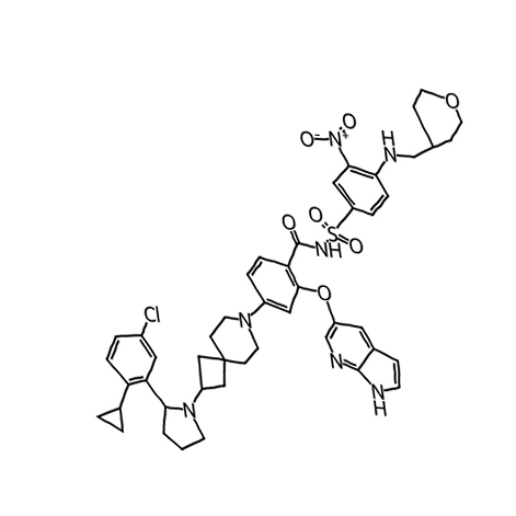 O=C(NS(=O)(=O)c1ccc(NCC2CCOCC2)c([N+](=O)[O-])c1)c1ccc(N2CCC3(CC2)CC(N2CCCC2c2cc(Cl)ccc2C2CC2)C3)cc1Oc1cnc2[nH]ccc2c1